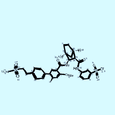 COc1cc(F)c(-c2ccc(CCS(N)(=O)=O)cc2)cc1C(=O)N[C@H]1[C@H]2CC[C@H](C2)[C@H]1C(=O)Nc1cccc(S(=O)(=O)C(F)(F)F)c1